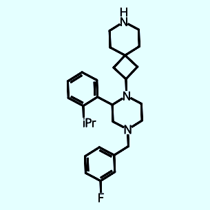 CC(C)c1ccccc1C1CN(Cc2cccc(F)c2)CCN1C1CC2(CCNCC2)C1